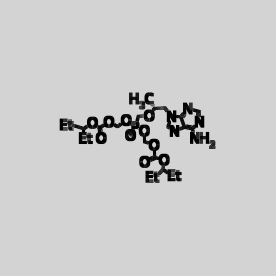 CCC(CC)OC(=O)OCOP(=O)(CO[C@H](C)Cn1cnc2c(N)ncnc21)OCOC(=O)OC(CC)CC